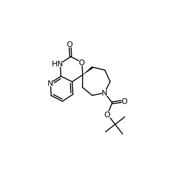 CC(C)(C)OC(=O)N1CCC[C@]2(CC1)OC(=O)Nc1ncccc12